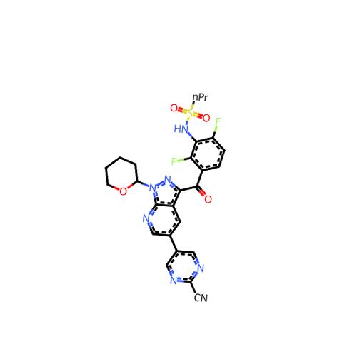 CCCS(=O)(=O)Nc1c(F)ccc(C(=O)c2nn(C3CCCCO3)c3ncc(-c4cnc(C#N)nc4)cc23)c1F